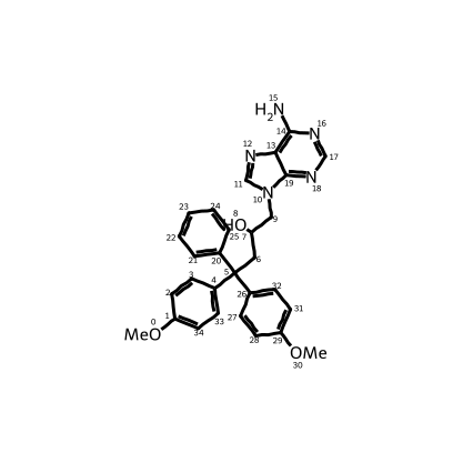 COc1ccc(C(CC(O)Cn2cnc3c(N)ncnc32)(c2ccccc2)c2ccc(OC)cc2)cc1